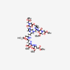 CC(C)(C)OC(=O)CC[C@H](NC(=O)N[C@@H](CCC(=O)N[C@@H](CCCCN(Cc1nccn1CC(=O)N(CC(=O)OC(C)(C)C)CC(=O)OC(C)(C)C)Cc1nccn1CC(=O)N(CC(=O)OC(C)(C)C)CC(=O)OC(C)(C)C)COC(=O)O)C(=O)OC(C)(C)C)C(=O)OC(C)(C)C